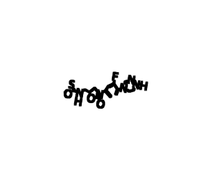 C=C(/C(F)=C\C(=C)N1C[C@H](CNC(=S)OC)OC1=O)N1C=NNCC1